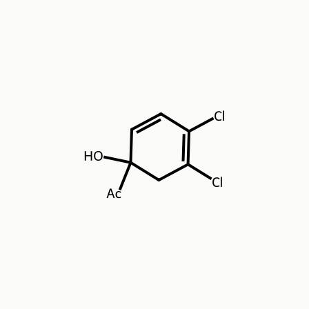 CC(=O)C1(O)C=CC(Cl)=C(Cl)C1